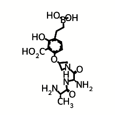 C[C@@H](N)C(=O)N[C@H](N)C(=O)N1CC(Oc2ccc(CCB(O)O)c(O)c2C(=O)O)C1